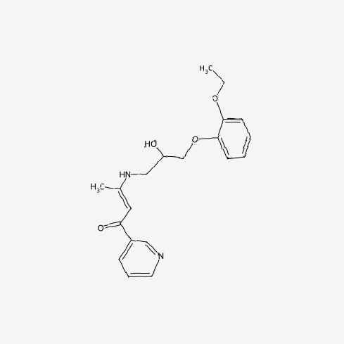 CCOc1ccccc1OCC(O)CNC(C)=CC(=O)c1cccnc1